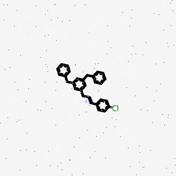 Clc1ccc(/C=C/Cc2cc(Cc3ccccc3)cc(Cc3ccccc3)c2)cc1